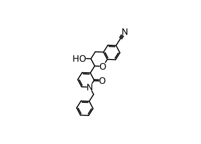 N#Cc1ccc2c(c1)CC(O)C(c1cccn(Cc3ccccc3)c1=O)O2